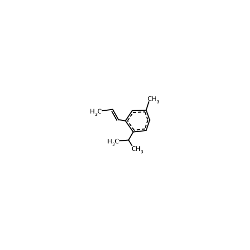 CC=Cc1cc(C)ccc1C(C)C